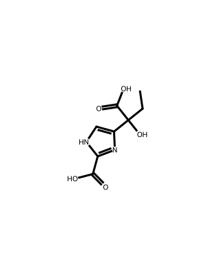 CCC(O)(C(=O)O)c1c[nH]c(C(=O)O)n1